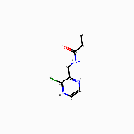 CCC(=O)NCc1nccnc1Cl